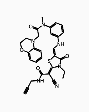 C#CCNC(=O)C(C#N)=c1sc(=CNc2cccc(N(C)C(=O)CN3CCOc4ccccc43)c2)c(=O)n1CC